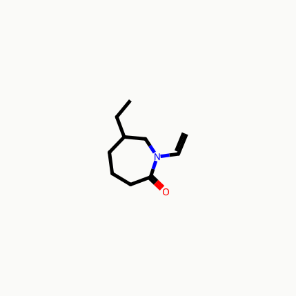 C=CN1CC(CC)CCCC1=O